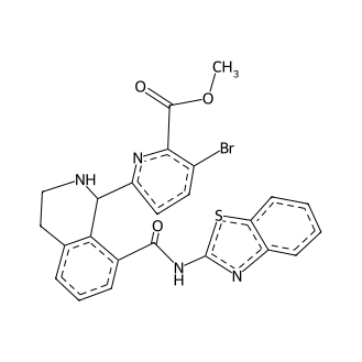 COC(=O)c1nc(C2NCCc3cccc(C(=O)Nc4nc5ccccc5s4)c32)ccc1Br